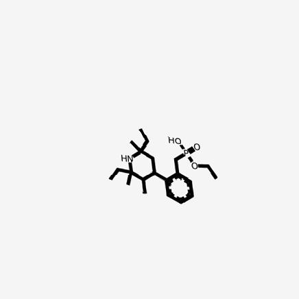 CCOP(=O)(O)Cc1ccccc1C1CC(C)(CC)NC(C)(CC)C1C